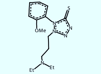 CCN(CC)CCCn1nnc(=S)n1-c1ccccc1OC